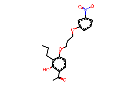 CCCc1c(OCCCOc2cccc([N+](=O)[O-])c2)ccc(C(C)=O)c1O